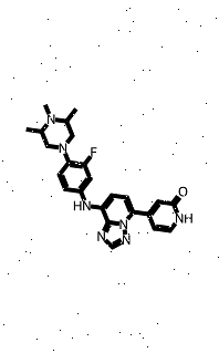 CC1CN(c2ccc(Nc3ccc(-c4cc[nH]c(=O)c4)n4ncnc34)cc2F)CC(C)N1C